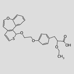 CCOC(Cc1ccc(OCCOC2SC=CC3=C2c2ccccc2OC=C3)cc1)C(=O)O